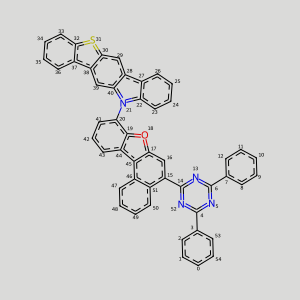 c1ccc(-c2nc(-c3ccccc3)nc(-c3cc4oc5c(-n6c7ccccc7c7cc8sc9ccccc9c8cc76)cccc5c4c4ccccc34)n2)cc1